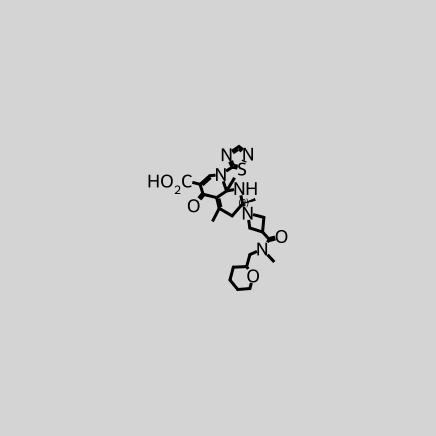 CC1=C2C(=O)C(C(=O)O)=CN(c3ncns3)C2(C)N[C@](C)(N2CC(C(=O)N(C)CC3CCCCO3)C2)C1